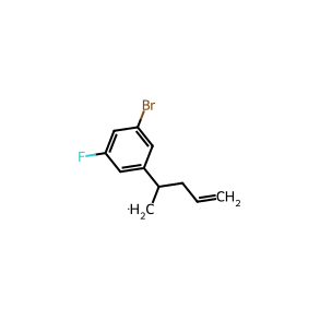 [CH2]C(CC=C)c1cc(F)cc(Br)c1